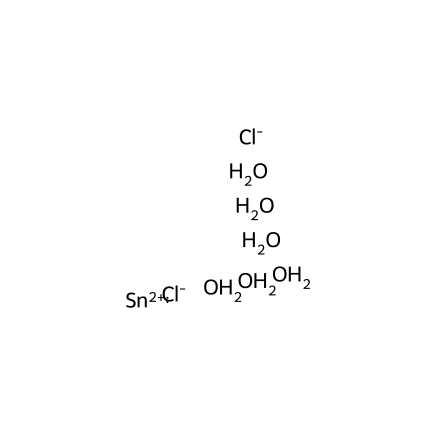 O.O.O.O.O.O.[Cl-].[Cl-].[Sn+2]